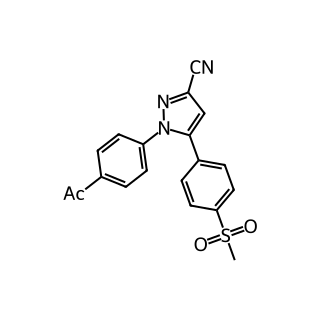 CC(=O)c1ccc(-n2nc(C#N)cc2-c2ccc(S(C)(=O)=O)cc2)cc1